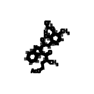 CC(=O)OCCN(C)C(=O)n1c([S+]([O-])Cc2ncc(C)c(OCC(F)(F)F)c2C)nc2ccccc21